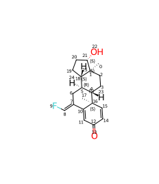 C[C@]12CC[C@H]3[C@@H](CC(=CF)C4=CC(=O)C=C[C@@]43C)[C@@H]1CC[C@@H]2O